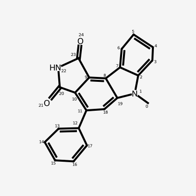 Cn1c2ccccc2c2c3c(c(-c4ccccc4)cc21)C(=O)NC3=O